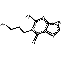 CCCCCCCCCCCCn1c(N)nc2[nH]cnc2c1=O